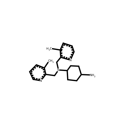 Cc1cccnc1CN(Cc1ncccc1C)C1CCC(N)CC1